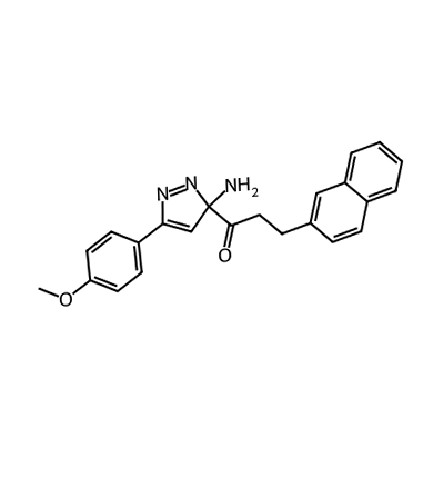 COc1ccc(C2=CC(N)(C(=O)CCc3ccc4ccccc4c3)N=N2)cc1